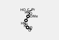 COc1cc(-c2ccc(Nc3nc4ccc(S(C)(=O)=O)cc4s3)cc2)ccc1C(=O)N[C@@H](CC(C)C)C(=O)O